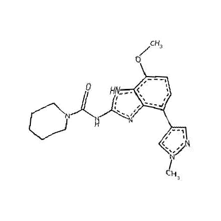 COc1ccc(-c2cnn(C)c2)c2nc(NC(=O)N3CCCCC3)[nH]c12